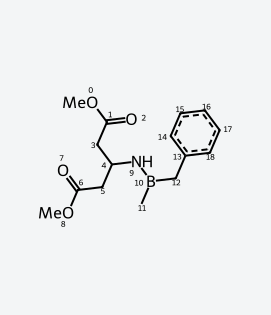 COC(=O)CC(CC(=O)OC)NB(C)Cc1ccccc1